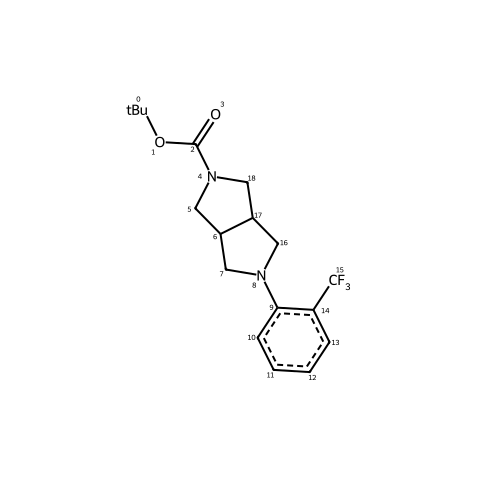 CC(C)(C)OC(=O)N1CC2CN(c3ccccc3C(F)(F)F)CC2C1